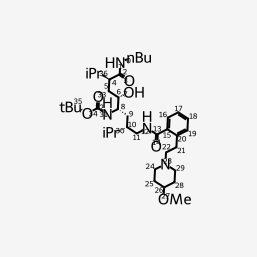 CCCCNC(=O)[C@@H](C[C@H](O)[C@H](C[C@H](CNC(=O)c1ccccc1CCN1CCC(OC)CC1)C(C)C)NC(=O)OC(C)(C)C)C(C)C